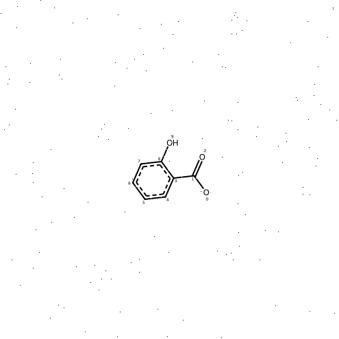 [O]C(=O)c1ccccc1O